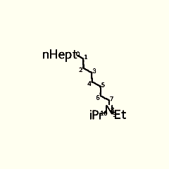 CCCCCCCCCCCCCCN(CC)C(C)C